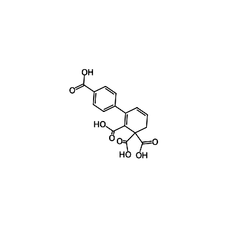 O=C(O)C1=C(c2ccc(C(=O)O)cc2)C=CCC1(C(=O)O)C(=O)O